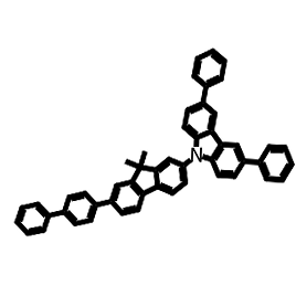 CC1(C)c2cc(-c3ccc(-c4ccccc4)cc3)ccc2-c2ccc(-n3c4ccc(-c5ccccc5)cc4c4cc(-c5ccccc5)ccc43)cc21